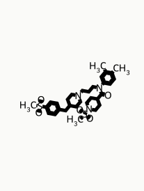 Cc1ccc(N(CCCN2CCC(Cc3ccc(S(C)(=O)=O)cc3)CC2)C(=O)C2CCN(S(C)(=O)=O)CC2)cc1C